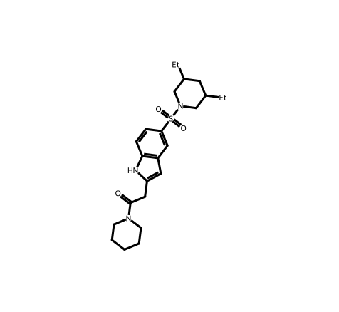 CCC1CC(CC)CN(S(=O)(=O)c2ccc3[nH]c(CC(=O)N4CCCCC4)cc3c2)C1